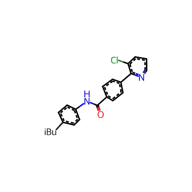 CCC(C)c1ccc(NC(=O)c2ccc(-c3ncccc3Cl)cc2)cc1